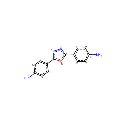 Nc1ccc(-c2nnc(-c3ccc(N)cc3)o2)cc1